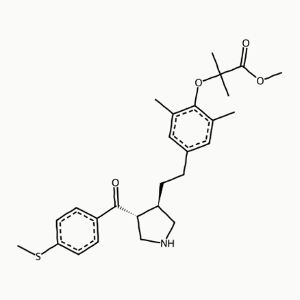 COC(=O)C(C)(C)Oc1c(C)cc(CC[C@H]2CNC[C@@H]2C(=O)c2ccc(SC)cc2)cc1C